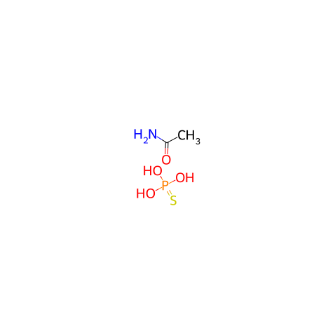 CC(N)=O.OP(O)(O)=S